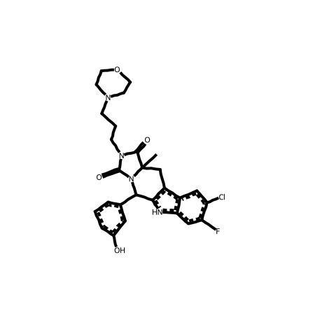 CC12Cc3c([nH]c4cc(F)c(Cl)cc34)C(c3cccc(O)c3)N1C(=O)N(CCCN1CCOCC1)C2=O